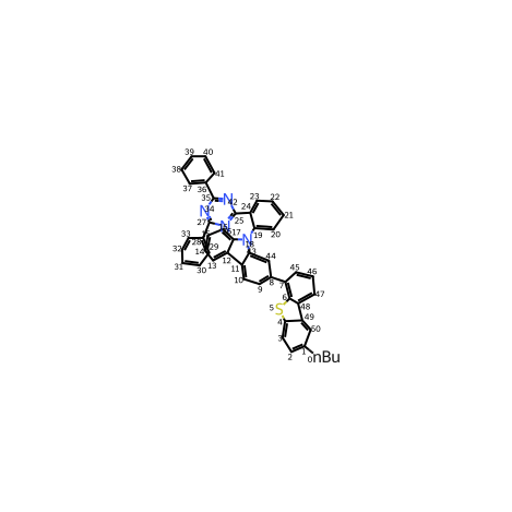 CCCCc1ccc2sc3c(-c4ccc5c6ccccc6n(-c6ccccc6-c6nc(-c7ccccc7)nc(-c7ccccc7)n6)c5c4)cccc3c2c1